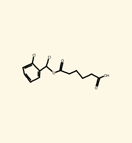 O=C(O)CCCCC(=O)OC(Cl)c1ccccc1Cl